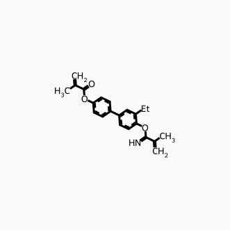 C=C(C)C(=N)Oc1ccc(-c2ccc(OC(=O)C(=C)C)cc2)cc1CC